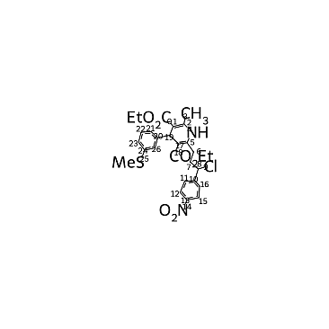 CCOC(=O)C1=C(C)NC(CCC(Cl)c2ccc([N+](=O)[O-])cc2)=C(C(=O)OCC)C1c1cccc(SC)c1